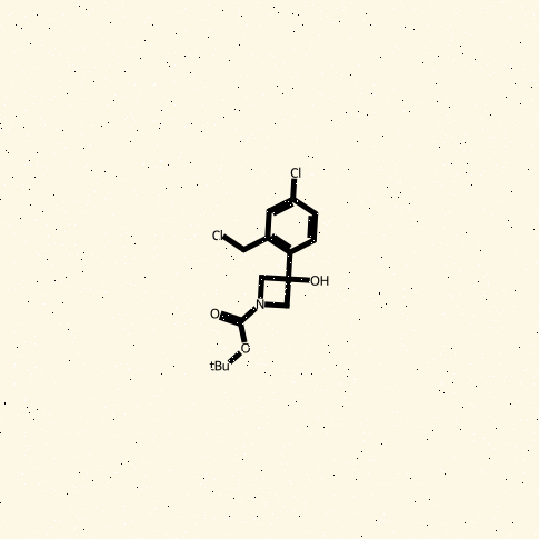 CC(C)(C)OC(=O)N1CC(O)(c2ccc(Cl)cc2CCl)C1